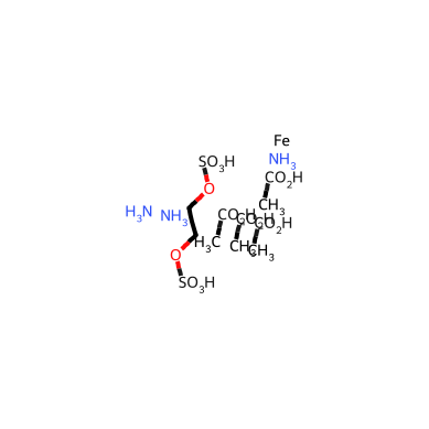 CC(=O)O.CC(=O)O.CC(=O)O.CC(=O)O.N.N.N.O=S(=O)(O)OCCOS(=O)(=O)O.[Fe]